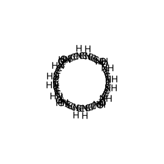 O=C1NCCCNCCNCCCNC(=O)C(=O)NCCCNCCNCCCNC(=O)C(=O)NCCCNCCNCCCNC(=O)C(=O)NCCCNCCNCCCNC1=O